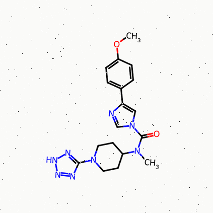 COc1ccc(-c2cn(C(=O)N(C)C3CCN(c4nn[nH]n4)CC3)cn2)cc1